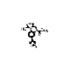 COC(O)N1c2ccc(-c3cn(C)nn3)cc2N(C(=O)OC(C)C)C[C@@H]1C